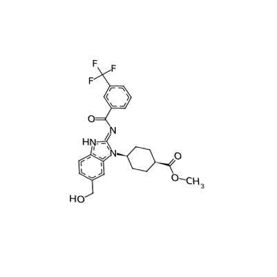 COC(=O)[C@H]1CC[C@@H](n2/c(=N/C(=O)c3cccc(C(F)(F)F)c3)[nH]c3ccc(CO)cc32)CC1